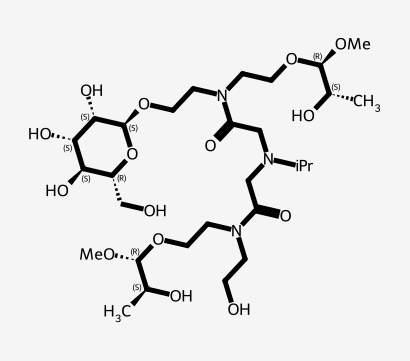 CO[C@H](OCCN(CCO)C(=O)CN(CC(=O)N(CCO[C@H]1O[C@H](CO)[C@@H](O)[C@H](O)[C@@H]1O)CCO[C@@H](OC)[C@H](C)O)C(C)C)[C@H](C)O